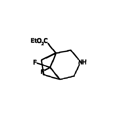 CCOC(=O)C12CCC(CNC1)C2(F)F